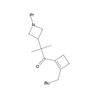 CCC(C)CC1=C(C(=O)C(C)(C)C2CN(C(C)C)C2)CC1